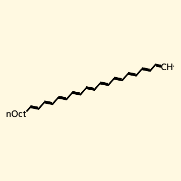 [CH]=C/C=C/C=C/C=C/C=C/C=C/C=C/C=C/C=C/C=C/CCCCCCCC